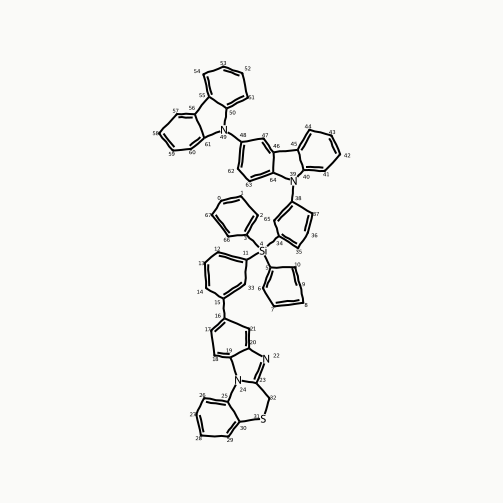 c1ccc([Si](c2ccccc2)(c2cccc(-c3ccc4c(c3)nc3n4-c4ccccc4SC3)c2)c2cccc(-n3c4ccccc4c4cc(-n5c6ccccc6c6ccccc65)ccc43)c2)cc1